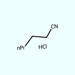 CCCCCC#N.Cl